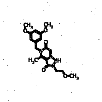 COCCn1[nH]c2cc(=O)n(Cc3cc(OC)cc(OC)c3)c(C)c2c1=O